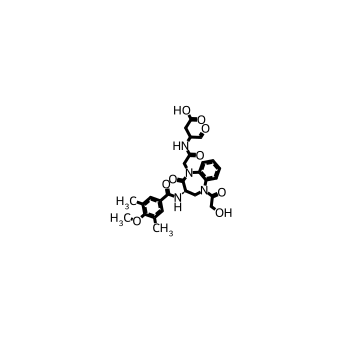 COc1c(C)cc(C(=O)N[C@H]2CN(C(=O)CO)c3ccccc3N(CC(=O)NC(C=O)CC(=O)O)C2=O)cc1C